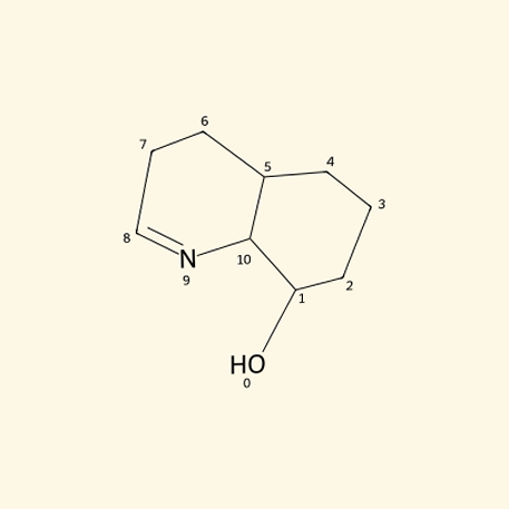 OC1CCCC2CCC=NC12